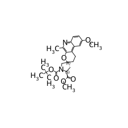 COC(=O)[C@@H]1C[C@]2(CCc3c(c(C)nc4ccc(OC)cc34)O2)CN1C(=O)OC(C)(C)C